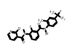 CN(C(=O)c1cccnc1Cl)c1cccc(C(=O)N(Br)c2ccc(C(F)(C(F)(F)F)C(F)(F)F)cc2C(F)(F)F)c1F